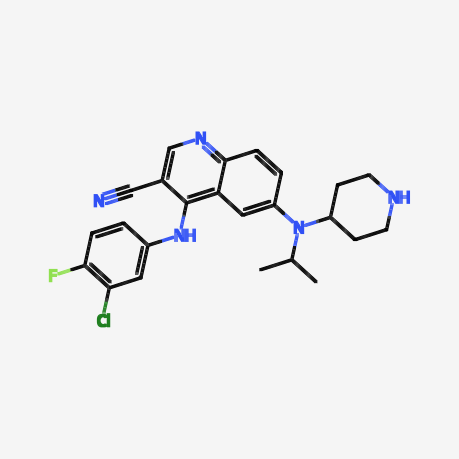 CC(C)N(c1ccc2ncc(C#N)c(Nc3ccc(F)c(Cl)c3)c2c1)C1CCNCC1